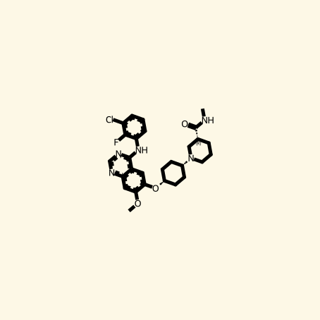 CNC(=O)[C@@H]1CCCN([C@H]2CC[C@@H](Oc3cc4c(Nc5cccc(Cl)c5F)ncnc4cc3OC)CC2)C1